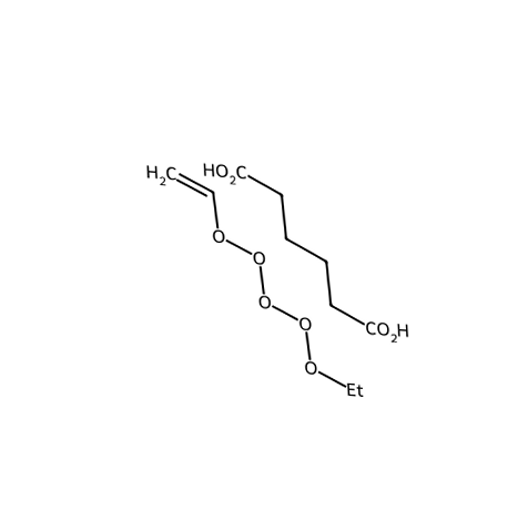 C=COOOOOCC.O=C(O)CCCCC(=O)O